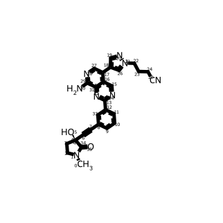 CN1CC[C@@](O)(C#Cc2cccc(-c3ncc4c(-c5cnn(CCCC#N)c5)cnc(N)c4n3)c2)C1=O